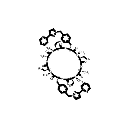 CC(C)C[C@H]1C(=O)O[C@H](Cc2ccc(Cn3ccc(-c4ccccn4)n3)cc2)C(=O)N(C)[C@@H](CC(C)C)C(=O)O[C@H](C)C(=O)N(C)[C@@H](CC(C)C)C(=O)O[C@H](Cc2ccc(Cn3ccc(-c4ccccn4)n3)cc2)C(=O)N(C)[C@@H](CC(C)C)C(=O)O[C@H](C)C(=O)N1C